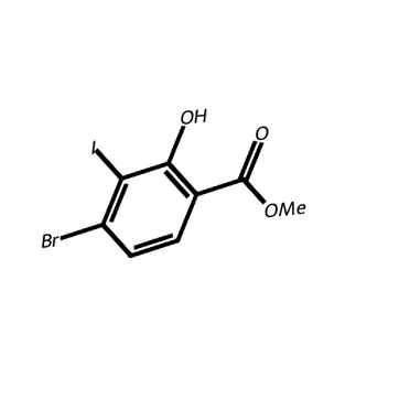 COC(=O)c1ccc(Br)c(I)c1O